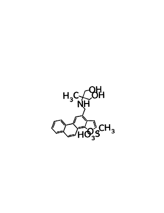 CC(CO)(CO)NCc1cc2c3ccccc3ccc2c2occc12.CS(=O)(=O)O